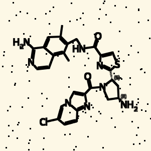 Cc1cc2c(N)nccc2c(C)c1CNC(=O)c1csc([C@@H]2C[C@@H](N)CN2C(=O)c2cn3cc(Cl)ccc3n2)n1